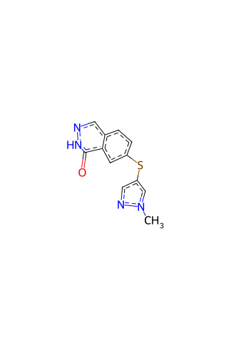 Cn1cc(Sc2ccc3cn[nH]c(=O)c3c2)cn1